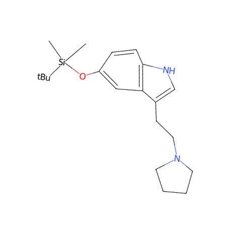 CC(C)(C)[Si](C)(C)Oc1ccc2[nH]cc(CCN3CCCC3)c2c1